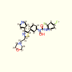 O=C(Nc1ccc(F)cc1F)N(O)c1cccc(-c2sc(CCN3CCOCC3)nc2-c2ccncc2)c1